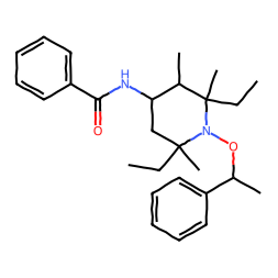 CCC1(C)CC(NC(=O)c2ccccc2)C(C)C(C)(CC)N1OC(C)c1ccccc1